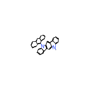 Cn1c2ccccc2c2cc3c(cc21)c1ccccc1n3-c1c2ccccc2cc2ccccc12